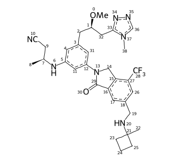 CO[C@H](Cc1cc(N[C@@H](C)CC#N)cc(N2Cc3c(cc(CNC4(C)CCC4)cc3C(F)(F)F)C2=O)c1)Cc1nncn1C